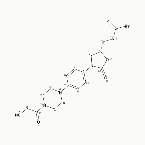 CC(C)C(=S)NC[C@H]1CN(c2ccc(N3CCN(C(=O)CC#N)CC3)cc2)C(=O)O1